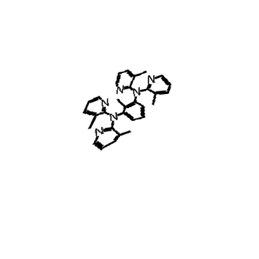 Cc1cccnc1N(c1cccc(N(c2ncccc2C)c2ncccc2C)c1C)c1ncccc1C